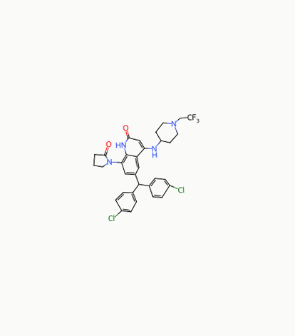 O=C1CCCN1c1cc(C(c2ccc(Cl)cc2)c2ccc(Cl)cc2)cc2c(NC3CCN(CC(F)(F)F)CC3)cc(=O)[nH]c12